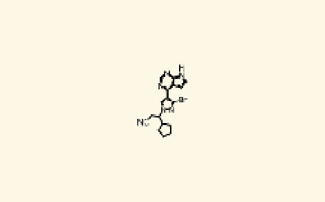 N#CCC(C1CCCC1)n1cc(-c2ncnc3[nH]ccc23)c(Br)n1